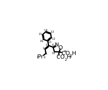 CC(C)CC=C(C1=NOC(C(=O)O)(C(=O)O)C1)c1ccccc1